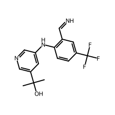 CC(C)(O)c1cncc(Nc2ccc(C(F)(F)F)cc2C=N)c1